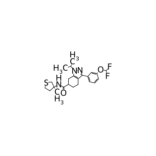 CC(C)n1nc(-c2cccc(OC(F)F)c2)c2c1CC(C(=O)NC1(C)CCSC1)CC2